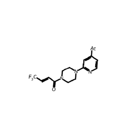 CC(=O)c1ccnc(N2CCN(C(=O)C=CC(F)(F)F)CC2)c1